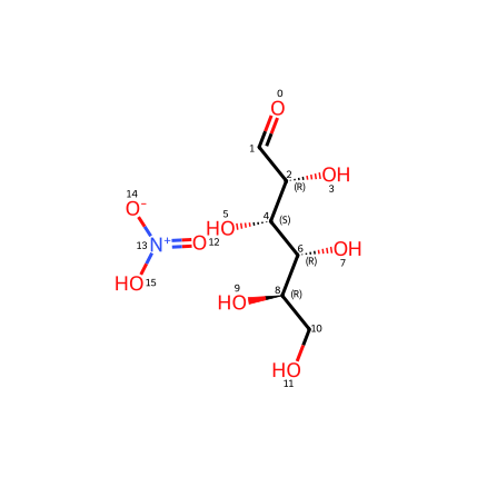 O=C[C@H](O)[C@@H](O)[C@H](O)[C@H](O)CO.O=[N+]([O-])O